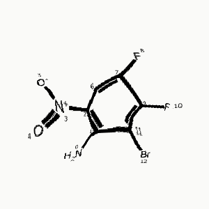 Nc1c([N+](=O)[O-])cc(F)c(F)c1Br